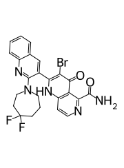 NC(=O)c1nccc2[nH]c(-c3cc4ccccc4nc3N3CCCC(F)(F)CC3)c(Br)c(=O)c12